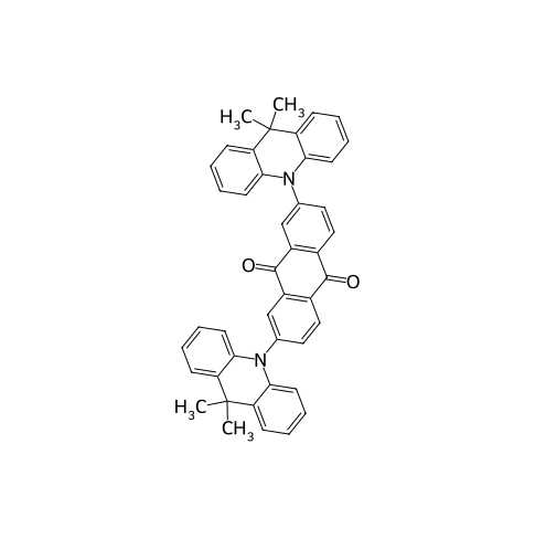 CC1(C)c2ccccc2N(c2ccc3c(c2)C(=O)c2cc(N4c5ccccc5C(C)(C)c5ccccc54)ccc2C3=O)c2ccccc21